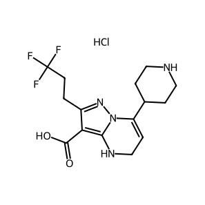 Cl.O=C(O)c1c(CCC(F)(F)F)nn2c1NCC=C2C1CCNCC1